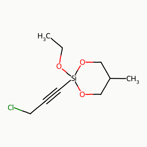 CCO[Si]1(C#CCCl)OCC(C)CO1